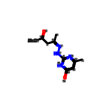 COC(=O)C/C(C)=N\Nc1nc(C)cc(=O)[nH]1